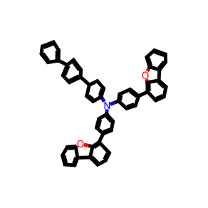 C1=CC(c2ccc(-c3ccccc3)cc2)CC=C1N(c1ccc(-c2cccc3c2oc2ccccc23)cc1)c1ccc(-c2cccc3c2oc2ccccc23)cc1